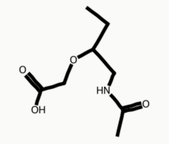 CCC(CNC(C)=O)OCC(=O)O